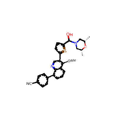 COc1c(-c2ccc(C(O)N3C[C@@H](C)O[C@@H](C)C3)s2)cnc2c(-c3ccc(C#N)cc3)cccc12